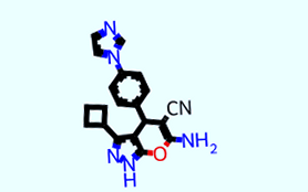 N#CC1=C(N)Oc2[nH]nc(C3CCC3)c2C1c1ccc(-n2ccnc2)cc1